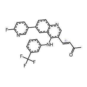 CC(=O)/C=C/c1cnc2ccc(-c3ccc(F)nc3)cc2c1Nc1cccc(C(F)(F)F)c1